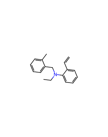 C=Cc1ccccc1N(CC)Cc1ccccc1C